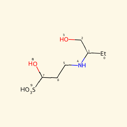 CCC(CO)NCCC(O)S(=O)(=O)O